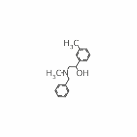 Cc1cccc(C(O)CN(C)Cc2ccccc2)c1